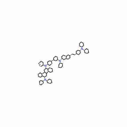 C(=C\c1ccc2cc(N(c3ccccc3)c3cccc(-c4ccc(N(c5ccccc5)c5cc6c7ccccc7c(N(c7ccccc7)c7ccccc7)cc6c6ccccc56)cc4)c3)ccc2c1)/c1ccc(N(c2ccccc2)c2ccccc2)cc1